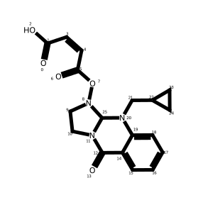 O=C(O)/C=C\C(=O)ON1CCN2C(=O)c3ccccc3N(CC3CC3)C12